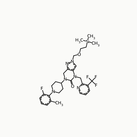 Cc1cccc(F)c1N1CCC(N2Cc3nn(COCC[Si](C)(C)C)cc3N(Cc3ncccc3C(F)(F)F)C2=O)CC1